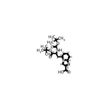 CC(C)(C)OC(=O)NC(Cc1cccc2nc(C(=O)O)cn12)C(=O)OC(C)(C)C